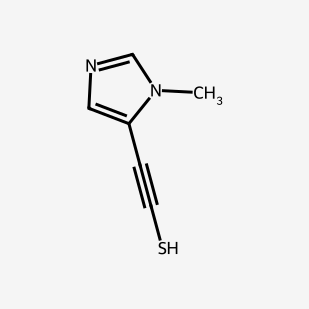 Cn1cncc1C#CS